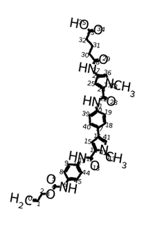 C=CCOC(=O)Nc1ccc(NC(=O)c2cc(-c3ccc(NC(=O)c4cc(NC(=O)CCCC(=O)O)cn4C)cc3)cn2C)cc1